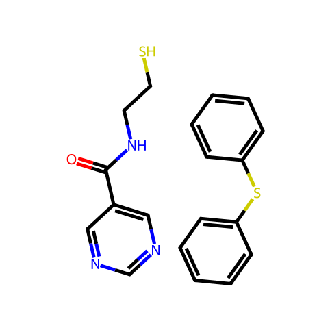 O=C(NCCS)c1cncnc1.c1ccc(Sc2ccccc2)cc1